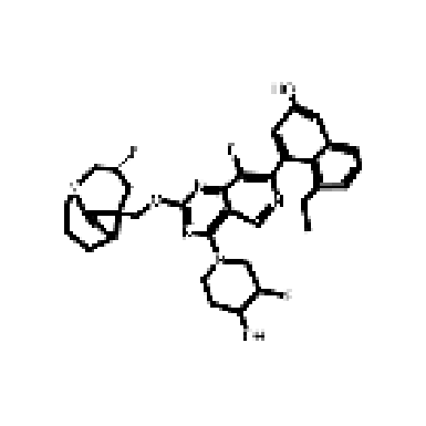 CCc1cccc2cc(O)cc(-c3ncc4c(N5CCC(O)C(F)C5)nc(OC[C@@]56C[C@@H](F)CN7CCCC5CC=C76)nc4c3F)c12